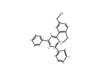 ClCc1ccc(CCl)c(-c2nc(-c3ccccc3)nc(-c3ccccc3)n2)c1